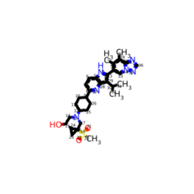 Cc1c(-c2[nH]c3ccc(C4CCC(N(CCO)CC5(S(C)(=O)=O)CC5)CC4)nc3c2C(C)C)cn2ncnc2c1C